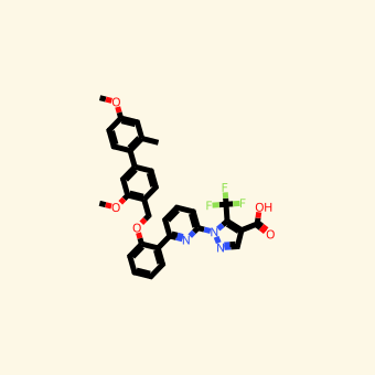 COc1ccc(-c2ccc(COc3ccccc3-c3cccc(-n4ncc(C(=O)O)c4C(F)(F)F)n3)c(OC)c2)c(C)c1